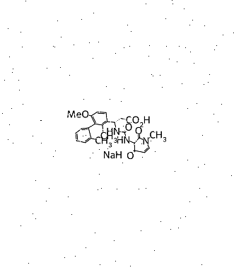 COc1ccc([C@H](CC(=O)O)NC(=O)NC2C(=O)C=CN(C)C2=O)c(C)c1-c1ccccc1C.[NaH]